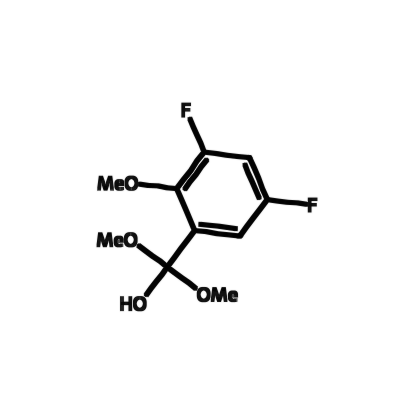 COc1c(F)cc(F)cc1C(O)(OC)OC